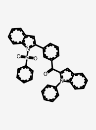 O=C(c1cccc(-c2cc3ccccc3n2S(=O)(=O)c2ccccc2)c1)c1cc2ccccc2n1-c1ccccc1